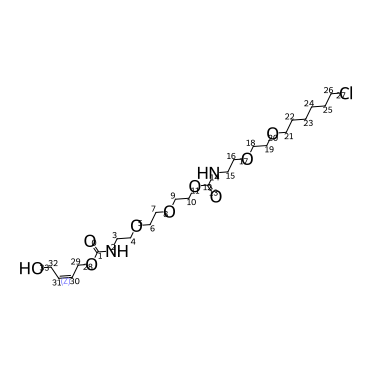 O=C(NCCOCCOCCOC(=O)NCCOCCOCCCCCCCl)OC/C=C\CO